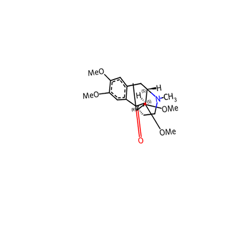 COC1=C(OC)[C@@H]2[C@@H]3Cc4cc(OC)c(OC)cc4[C@]2(CCN3C)CC1=O